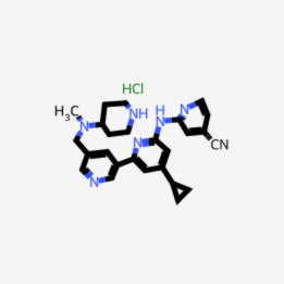 CN(Cc1cncc(-c2cc(C3CC3)cc(Nc3cc(C#N)ccn3)n2)c1)C1CCNCC1.Cl